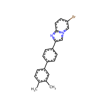 Cc1ccc(-c2ccc(-c3cn4cc(Br)ccc4n3)cc2)cc1C